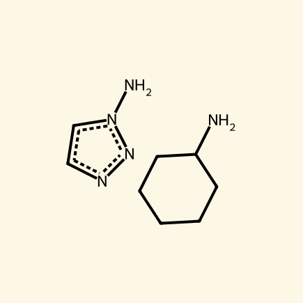 NC1CCCCC1.Nn1ccnn1